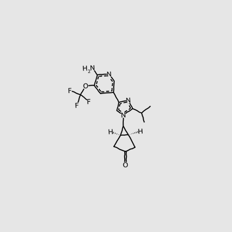 CC(C)c1nc(-c2cnc(N)c(OC(F)(F)F)c2)cn1C1[C@H]2CC(=O)C[C@@H]12